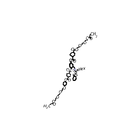 C=CC(=O)OCCOCCOCCOC(=O)C1CCC(C(=O)Oc2ccc(OC(=O)C3CCC(C(=O)Oc4ccc(OCCOCCOCCOC(=O)C=C)cc4)CC3)c(/C=N/N(CCCCCC)c3nc4ccccc4s3)c2)CC1